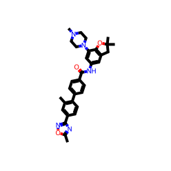 Cc1nc(-c2ccc(-c3ccc(C(=O)Nc4cc5c(c(N6CCN(C)CC6)c4)OC(C)(C)C5)cc3)c(C)c2)no1